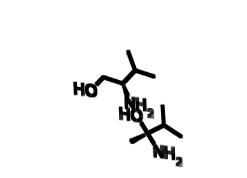 CC(C)[C@@H](N)CO.CC(C)[C@](C)(N)O